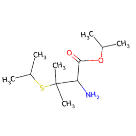 CC(C)OC(=O)C(N)C(C)(C)SC(C)C